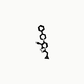 N#Cc1c(N2CCC(c3ccccc3)CC2)ccn2c(CC3CC3)nnc12